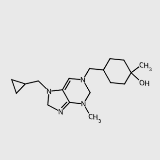 CN1CN(CC2CCC(C)(O)CC2)C=C2C1=NCN2CC1CC1